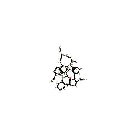 C=CCc1c(/C=C\C)n(-c2ccccc2-c2ccc(C#N)c(-c3cccc(N4C(=C)/C=C\C(C#N)=C/Cc5ccccc54)c3)c2)c2c(C#N)cccc12